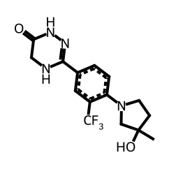 CC1(O)CCN(c2ccc(C3=NNC(=O)CN3)cc2C(F)(F)F)C1